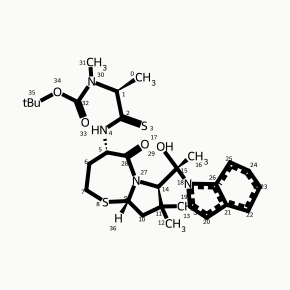 C[C@@H](C(=S)N[C@H]1CCS[C@H]2CC(C)(C)[C@H]([C@](C)(O)n3ccc4ccccc43)N2C1=O)N(C)C(=O)OC(C)(C)C